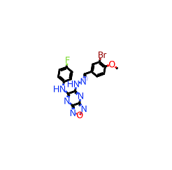 COc1ccc(/C=N/Nc2nc3nonc3nc2Nc2ccc(F)cc2)cc1Br